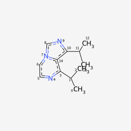 CC(C)c1nccn2cnc(C(C)C)c12